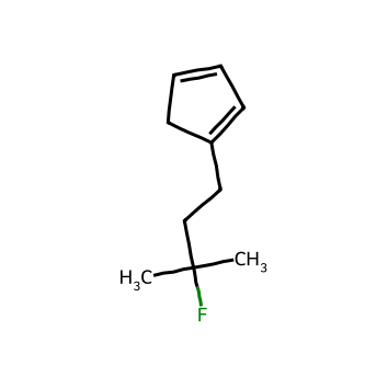 CC(C)(F)CCC1=CC=CC1